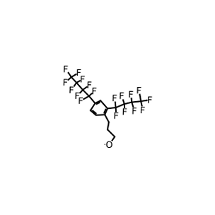 [O]CCCc1ccc(C(F)(F)C(F)(F)C(F)(F)C(F)(F)F)cc1C(F)(F)C(F)(F)C(F)(F)C(F)(F)F